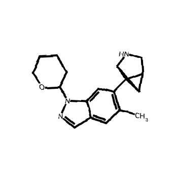 Cc1cc2cnn(C3CCCCO3)c2cc1C12C3CNC1C32